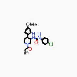 COc1ccc(C2CCN(C(=O)CC(C)C)CC2NC(=O)Nc2ccc(Cl)cc2)cc1